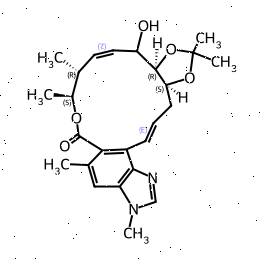 Cc1cc2c(ncn2C)c2c1C(=O)O[C@@H](C)[C@H](C)/C=C\C(O)[C@H]1OC(C)(C)O[C@H]1C/C=C/2